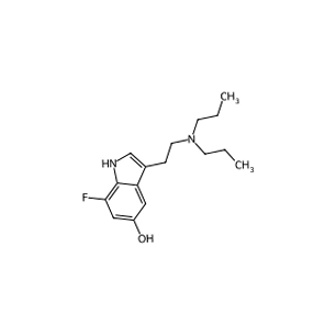 CCCN(CCC)CCc1c[nH]c2c(F)cc(O)cc12